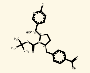 CC(C)(C)OC(=O)N1[C@H](Cc2ccc(C(=O)O)cc2)CC[C@@H]1[C@H](O)c1ccc(Cl)nc1